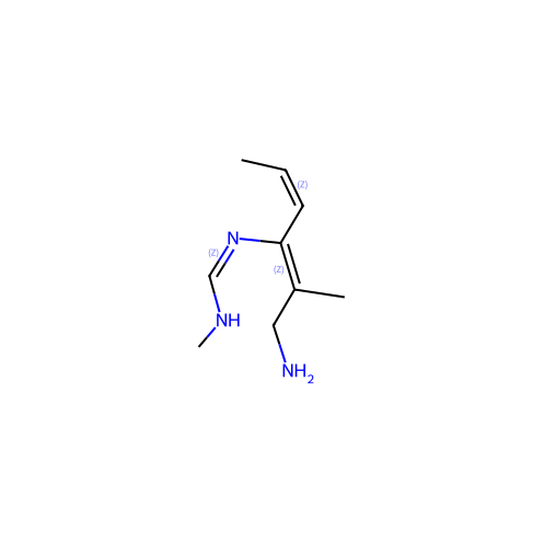 C\C=C/C(/N=C\NC)=C(\C)CN